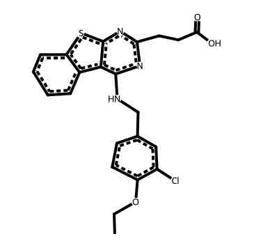 CCOc1ccc(CNc2nc(CCC(=O)O)nc3sc4ccccc4c23)cc1Cl